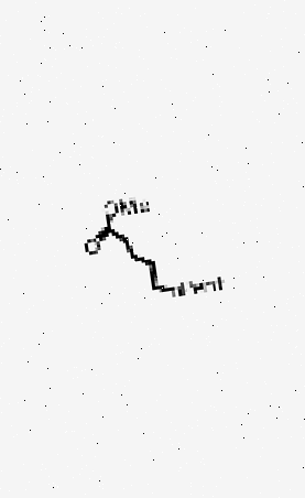 CCCCCCCC[CH]C(=O)OC